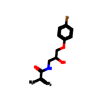 C=C(C)C(=O)NCC(O)COc1ccc(Br)cc1